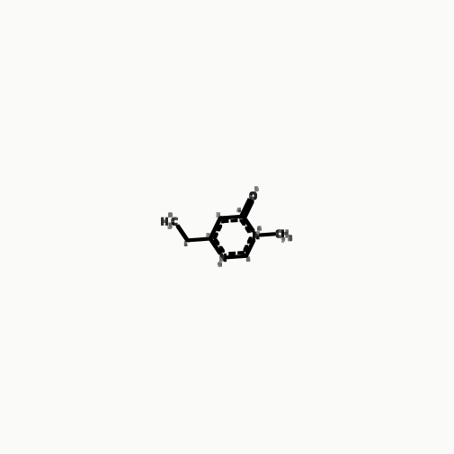 CCc1cc(=O)n(C)cn1